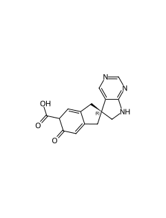 O=C(O)C1C=C2C[C@@]3(CNc4ncncc43)CC2=CC1=O